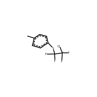 Cc1ccc(SC(F)(F)C(F)(F)Cl)cc1